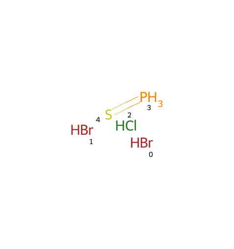 Br.Br.Cl.[PH3]=S